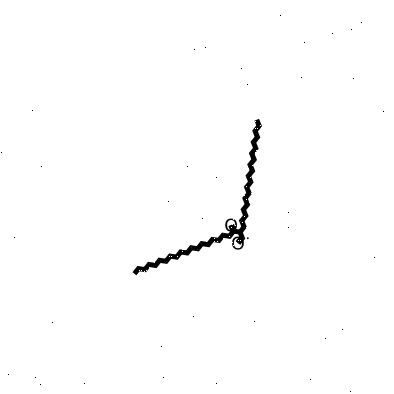 CCCCCCCCCCCCCCCCCCCCC([C]=O)C(=O)CCCCCCCCCCCCCCCCCCC